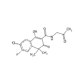 CC(=O)CNC(=O)C1=C(O)c2cc(Cl)c(F)cc2C(C)(C)C1=O